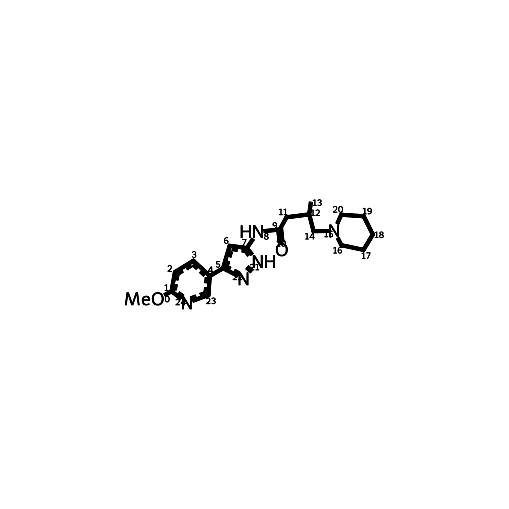 COc1ccc(-c2cc(NC(=O)CC(C)CN3CCCCC3)[nH]n2)cn1